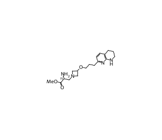 COC(=O)[C@@H](N)CN1CC(OCCCc2ccc3c(n2)NCCC3)C1